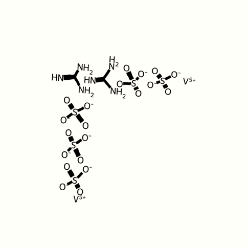 N=C(N)N.N=C(N)N.O=S(=O)([O-])[O-].O=S(=O)([O-])[O-].O=S(=O)([O-])[O-].O=S(=O)([O-])[O-].O=S(=O)([O-])[O-].[V+5].[V+5]